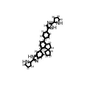 c1cc(-c2ccc(-c3ccc4nc(C5CCCN5)[nH]c4c3)c3c2CCC32CCCC2)ccc1-c1cnc(C2CCCN2)[nH]1